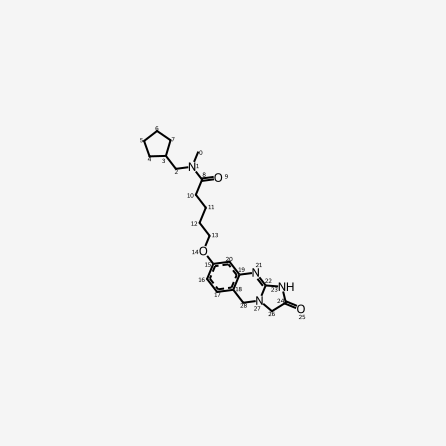 CN(CC1CCCC1)C(=O)CCCCOc1ccc2c(c1)N=C1NC(=O)CN1C2